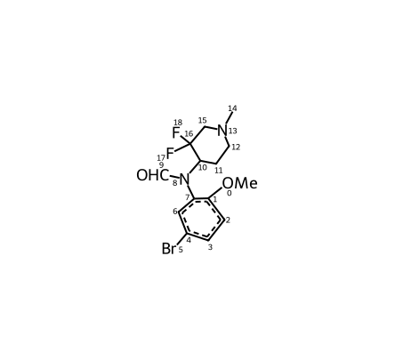 COc1ccc(Br)cc1N(C=O)C1CCN(C)CC1(F)F